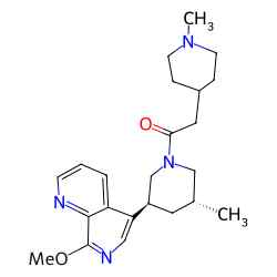 COc1ncc([C@@H]2C[C@@H](C)CN(C(=O)CC3CCN(C)CC3)C2)c2cccnc12